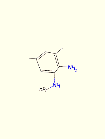 CCCNc1cc(C)cc(C)c1N